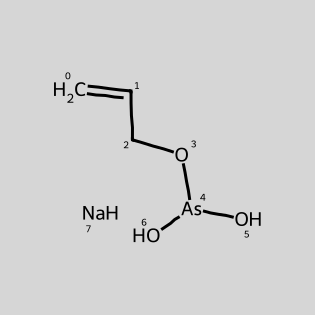 C=CCO[As](O)O.[NaH]